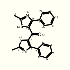 Cc1nc(-c2ccccc2)c(C(=O)c2sc(C)nc2-c2ccccc2)s1